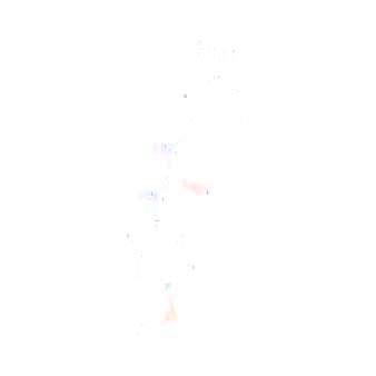 CCCOc1ccc(NC(=O)Nc2cccc(C(=O)OCC)c2)cc1